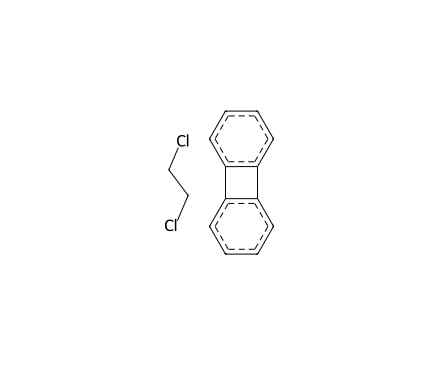 ClCCCl.c1ccc2c(c1)-c1ccccc1-2